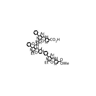 CCn1nc(-c2ccccc2)c(C(=O)CO)c(Nc2cccnc2C)c1=O.CCn1nc(-c2ccccc2)c(C(C)=O)c(Nc2cncc(C(=O)O)c2)c1=O.CCn1nc(-c2ccccc2)c(C(C)=O)c(Nc2cncc(C(=O)OC)c2)c1=O